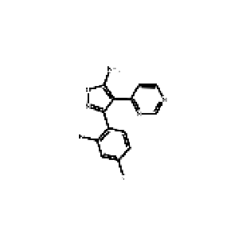 Nc1onc(-c2ccc(Cl)cc2F)c1-c1ccncn1